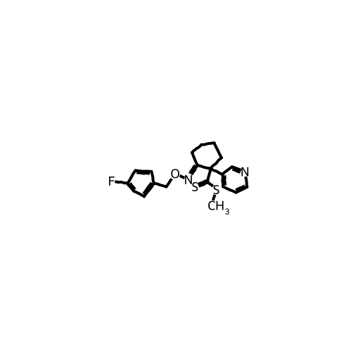 CSC(=S)C1(c2cccnc2)CCCCC1=NOCc1ccc(F)cc1